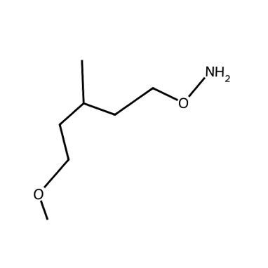 COCCC(C)CCON